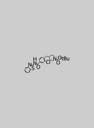 CC(C)(C)OC(=O)N1CCC(Cc2ccc(C(=O)Nc3nc4ccccc4s3)cc2Cl)CC1